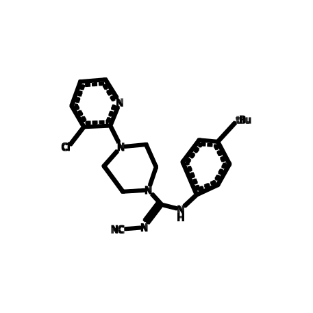 CC(C)(C)c1ccc(N/C(=N/C#N)N2CCN(c3ncccc3Cl)CC2)cc1